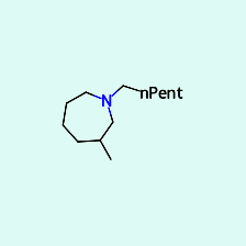 CCCCCCN1CCCCC(C)C1